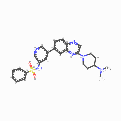 CN(C)C1CCN(c2cnc3ccc(-c4cncc(NS(=O)(=O)c5ccccc5)c4)cc3n2)CC1